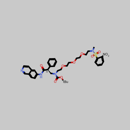 CN(CCOCCOCCOCCN(C[C@@H](C(=O)Nc1ccc2cnccc2c1)c1ccccc1)C(=O)OC(C)(C)C)S(=O)(=O)c1ccccc1[N+](=O)[O-]